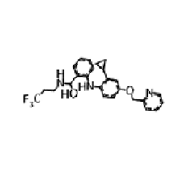 OC(NCCC(F)(F)F)c1ccccc1Nc1ccc(OCc2ccccn2)cc1C1CC1